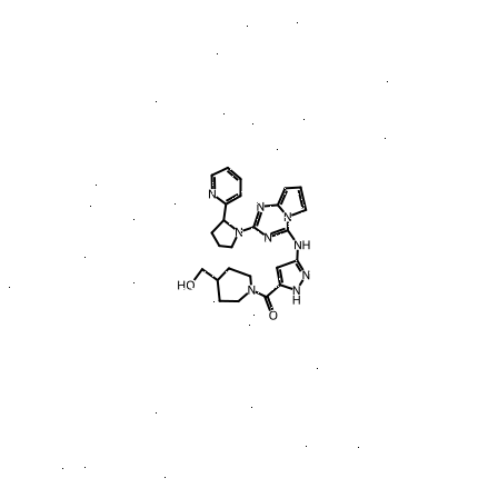 O=C(c1cc(Nc2nc(N3CCCC3c3ccccn3)nc3cccn23)n[nH]1)N1CCC(CO)CC1